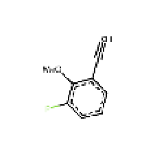 C#Cc1cccc(F)c1OC